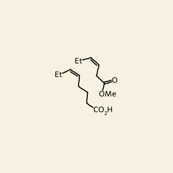 CC/C=C\CC(=O)OC.CC/C=C\CCCC(=O)O